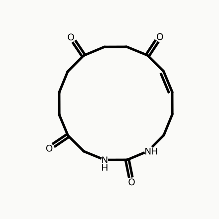 O=C1C=CCCNC(=O)NCC(=O)CCCC(=O)CC1